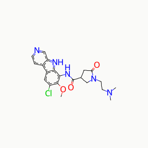 COc1c(Cl)cc2c([nH]c3cnccc32)c1NC(=O)C1CC(=O)N(CCN(C)C)C1